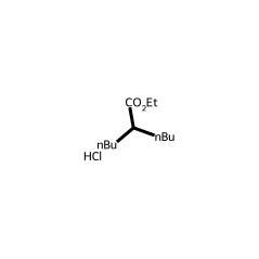 CCCCC(CCCC)C(=O)OCC.Cl